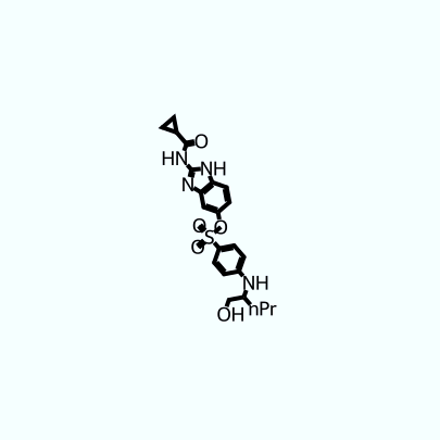 CCCC(CO)Nc1ccc(S(=O)(=O)Oc2ccc3[nH]c(NC(=O)C4CC4)nc3c2)cc1